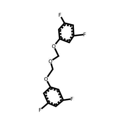 Fc1cc(F)cc(OCOCOc2cc(F)cc(F)c2)c1